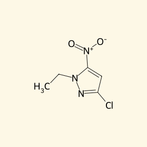 CCn1nc(Cl)cc1[N+](=O)[O-]